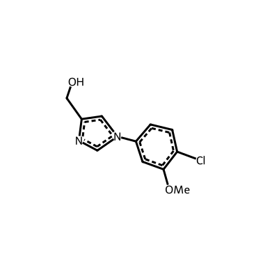 COc1cc(-n2cnc(CO)c2)ccc1Cl